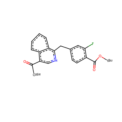 COC(=O)c1cnc(Cc2ccc(C(=O)OC(C)(C)C)c(F)c2)c2ccccc12